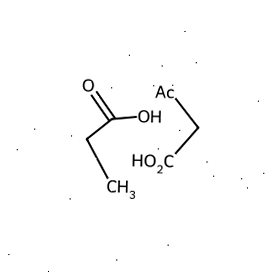 CC(=O)CC(=O)O.CCC(=O)O